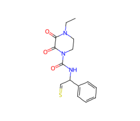 CCN1CCN(C(=O)NC(C=S)c2ccccc2)C(=O)C1=O